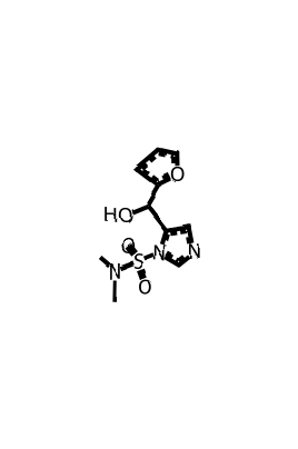 CN(C)S(=O)(=O)n1cncc1C(O)c1ccco1